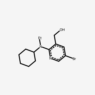 CCN(c1ncc(Br)cc1CO)C1CCCCC1